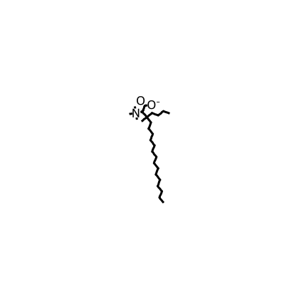 CCCCCCCCCCCCCCCC(C)(CCCC)C(C(=O)[O-])[N+](C)(C)C